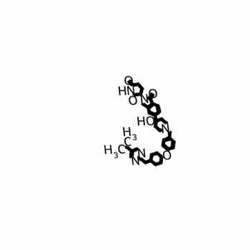 CC(C)c1cnc(CC2CCC(Oc3ccc(CN4CCC(O)(c5ccc6c(c5)CN(C5CCC(=O)NC5=O)C6=O)CC4)cc3)CC2)nc1